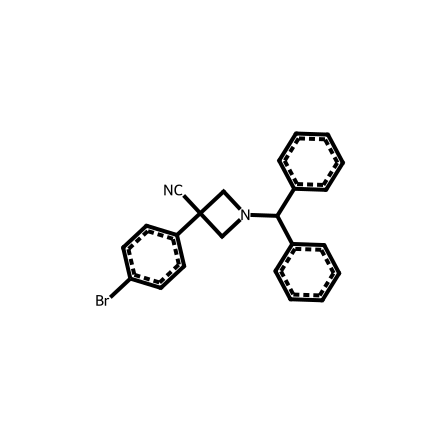 N#CC1(c2ccc(Br)cc2)CN(C(c2ccccc2)c2ccccc2)C1